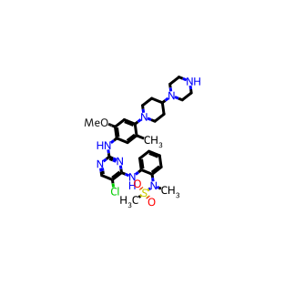 COc1cc(N2CCC(N3CCNCC3)CC2)c(C)cc1Nc1ncc(Cl)c(Nc2ccccc2N(C)S(C)(=O)=O)n1